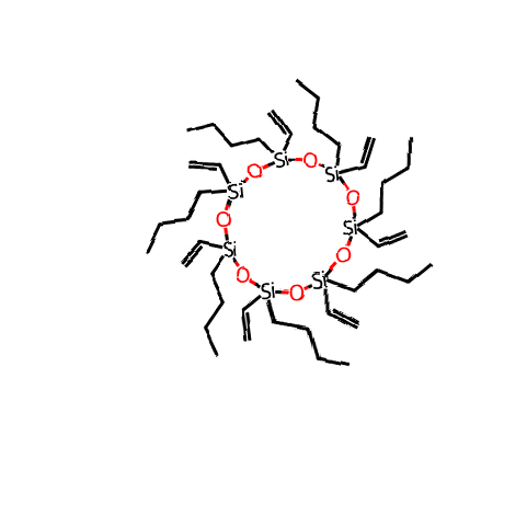 C=C[Si]1(CCCC)O[Si](C=C)(CCCC)O[Si](C=C)(CCCC)O[Si](C=C)(CCCC)O[Si](C=C)(CCCC)O[Si](C=C)(CCCC)O[Si](C=C)(CCCC)O1